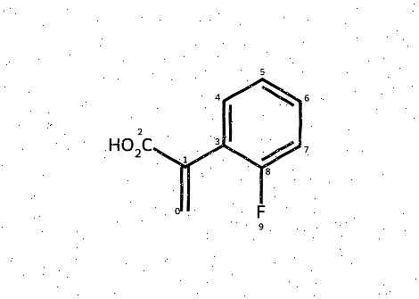 C=C(C(=O)O)c1ccccc1F